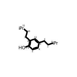 CC(C)CCc1ccc(O)c(CCC(C)C)c1